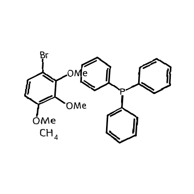 C.COc1ccc(Br)c(OC)c1OC.c1ccc(P(c2ccccc2)c2ccccc2)cc1